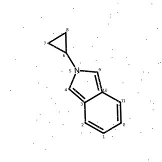 c1ccc2cn(C3CC3)cc2c1